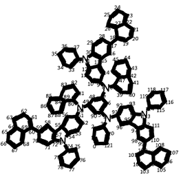 c1ccc(N(c2cc(N(c3ccc4c(c3)c3cc(-c5cccc6ccccc56)ccc3n4-c3ccccc3)c3cccc4ccccc34)cc(N(c3ccc4c(c3)c3cc(-c5cccc6ccccc56)ccc3n4-c3ccccc3)c3cccc4ccccc34)c2)c2ccc3c(c2)c2cc(-c4cccc5ccccc45)ccc2n3-c2ccccc2)cc1